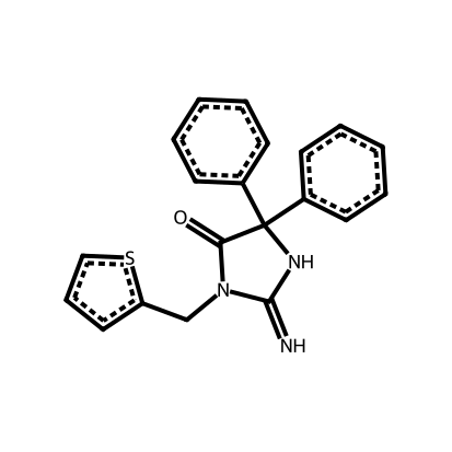 N=C1NC(c2ccccc2)(c2ccccc2)C(=O)N1Cc1cccs1